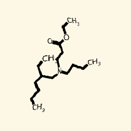 CCCCC(CC)CN(CCCC)CCC(=O)OCC